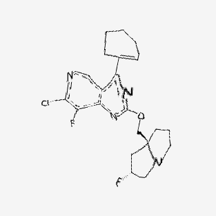 Fc1c(Cl)ncc2c(C3=CCCCC3)nc(OC[C@@]34CCCN3C[C@H](F)C4)nc12